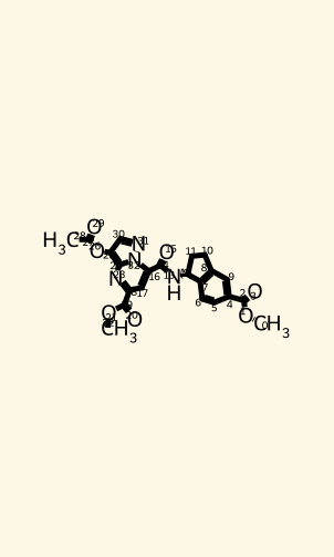 COC(=O)c1ccc2c(c1)CC[C@@H]2NC(=O)c1cc(C(=O)OC)nc2c(OC(C)=O)cnn12